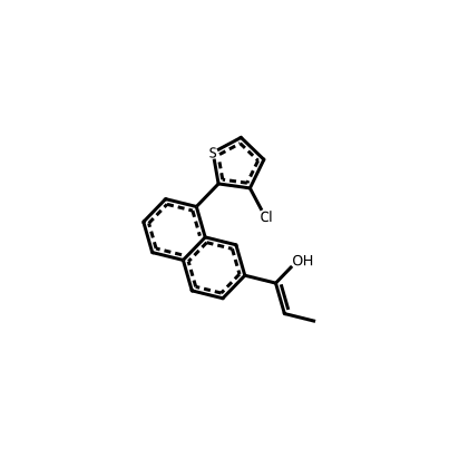 CC=C(O)c1ccc2cccc(-c3sccc3Cl)c2c1